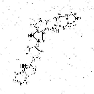 O=C(Nc1ccccc1)N1CC=C(c2cc3c(Nc4ccc5[nH]ncc5c4)ncnc3[nH]2)CC1